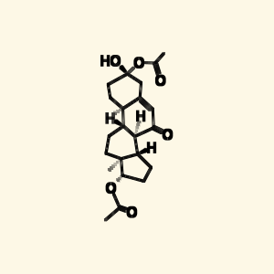 CC(=O)O[C@H]1CC[C@H]2[C@@H]3C(=O)C=C4C[C@@](O)(OC(C)=O)CC[C@]4(C)[C@H]3CC[C@]12C